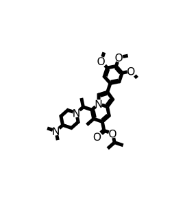 COc1cc(-c2cc3cc(C(=O)OC(C)C)c(C)c(C(C)N4CCC(N(C)C)CC4)n3c2)cc(OC)c1OC